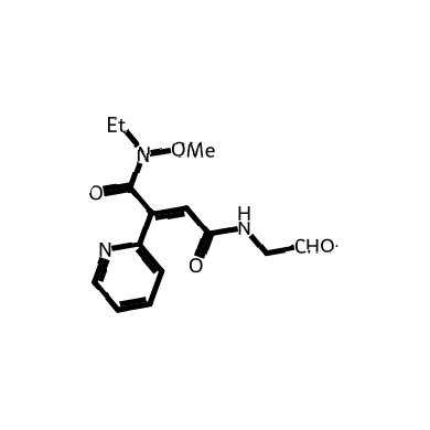 CCN(OC)C(=O)C(=CC(=O)NC[C]=O)c1ccccn1